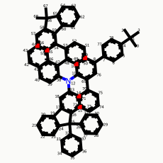 CC(C)(C)c1ccc(-c2ccc(N(c3ccc4c(c3)-c3ccccc3C4(c3ccccc3)c3ccccc3)c3ccc4ccccc4c3-c3ccccc3-c3cccc4c3-c3ccccc3C4(C)C)c(-c3ccccc3)c2)cc1